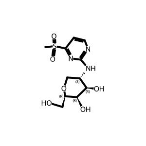 CS(=O)(=O)c1ccnc(N[C@H]2CO[C@H](CO)[C@H](O)[C@@H]2O)n1